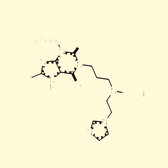 CCCCCn1c(=O)n(CCCN(CCn2ccnc2)C(=O)O)c(=O)c2[nH]c(Cl)nc21